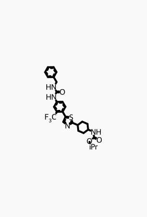 CC(C)OC(=O)NC1CCC(c2ncc(-c3ccc(NC(=O)NCc4ccccc4)cc3C(F)(F)F)s2)CC1